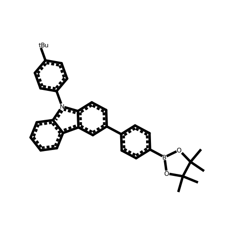 CC(C)(C)c1ccc(-n2c3ccccc3c3cc(-c4ccc(B5OC(C)(C)C(C)(C)O5)cc4)ccc32)cc1